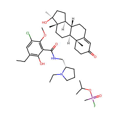 CC(C)OP(C)(=O)F.CCc1cc(Cl)c(OC)c(C(=O)NC[C@@H]2CCCN2CC)c1O.C[C@]12CCC(=O)C=C1CC[C@@H]1[C@@H]2CC[C@@]2(C)[C@H]1CC[C@]2(C)O